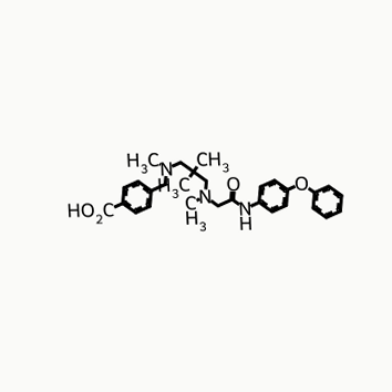 CN(CC(=O)Nc1ccc(Oc2ccccc2)cc1)CC(C)(C)CN(C)Cc1ccc(C(=O)O)cc1